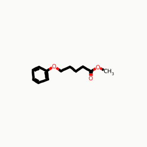 COC(=O)CCCCOc1ccccc1